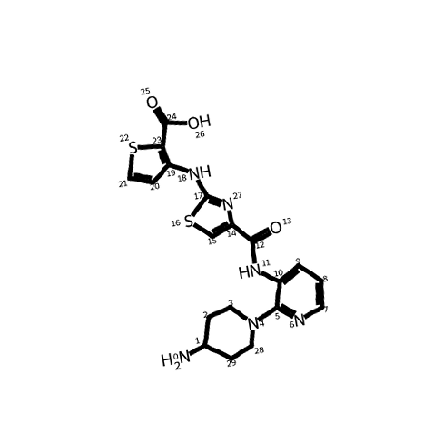 NC1CCN(c2ncccc2NC(=O)c2csc(Nc3ccsc3C(=O)O)n2)CC1